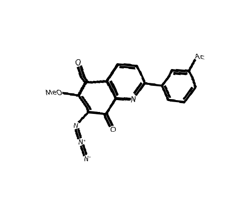 COC1=C(N=[N+]=[N-])C(=O)c2nc(-c3cccc(C(C)=O)c3)ccc2C1=O